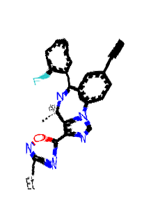 C#Cc1ccc2c(c1)C(c1ccccc1F)=N[C@@H](C)c1c(-c3nc(CC)no3)ncn1-2